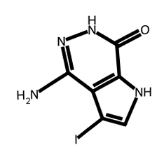 Nc1n[nH]c(=O)c2[nH]cc(I)c12